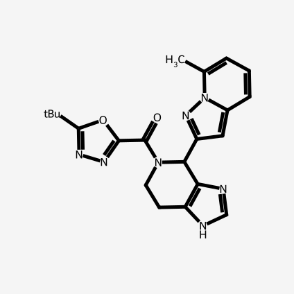 Cc1cccc2cc(C3c4nc[nH]c4CCN3C(=O)c3nnc(C(C)(C)C)o3)nn12